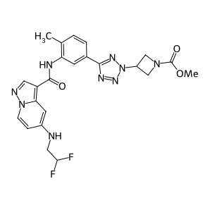 COC(=O)N1CC(n2nnc(-c3ccc(C)c(NC(=O)c4cnn5ccc(NCC(F)F)cc45)c3)n2)C1